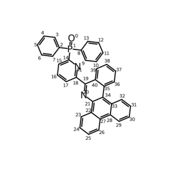 O=P(c1ccccc1)(c1ccccc1)c1cccc(-c2nc3c4ccccc4c4ccccc4c3c3ccccc23)n1